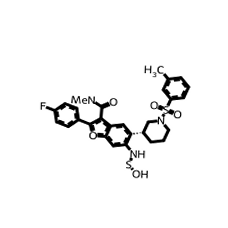 CNC(=O)c1c(-c2ccc(F)cc2)oc2cc(NSO)c([C@H]3CCCN(S(=O)(=O)c4cccc(C)c4)C3)cc12